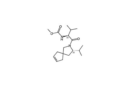 COC(=O)N[C@H](C(=O)N1CC2(CC=CC2)C[C@H]1C(C)C)C(C)C